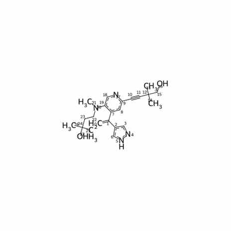 C=C(c1cn[nH]c1)c1cc(C#CC(C)(C)CO)ncc1N(C)CCC(C)(C)O